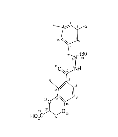 Cc1cc(C)cc(CN(NC(=O)c2ccc3c(c2C)OC(C(=O)O)CO3)C(C)(C)C)c1